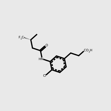 C[C@H](CC(=O)Nc1cc(CCC(=O)O)ccc1Cl)C(F)(F)F